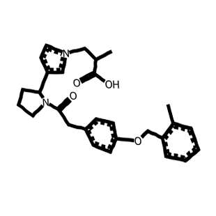 Cc1ccccc1COc1ccc(CC(=O)N2CCCC2c2ccn(CC(C)C(=O)O)c2)cc1